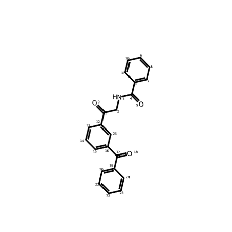 O=C(CNC(=O)c1ccccc1)c1cccc(C(=O)c2ccccc2)c1